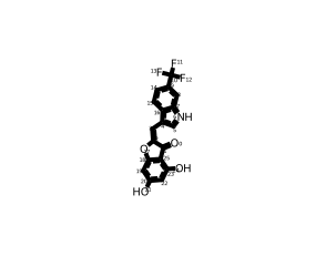 O=C1C(=Cc2c[nH]c3cc(C(F)(F)F)ccc23)Oc2cc(O)cc(O)c21